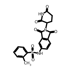 Cc1ccccc1S(=O)(=O)Nc1ccc2c(c1)C(=O)N(C1CCC(=O)NC1=O)C2=O